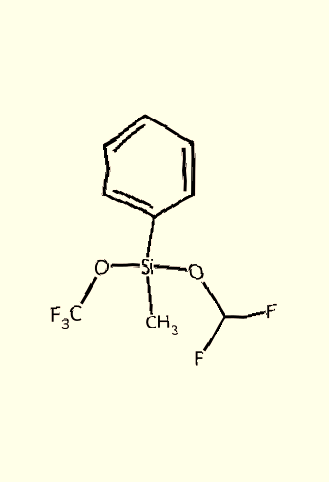 C[Si](OC(F)F)(OC(F)(F)F)c1ccccc1